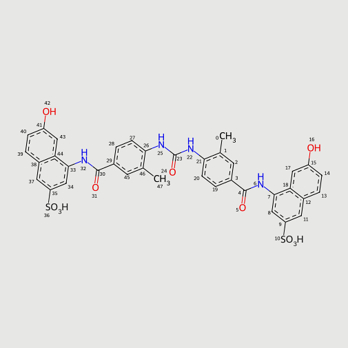 Cc1cc(C(=O)Nc2cc(S(=O)(=O)O)cc3ccc(O)cc23)ccc1NC(=O)Nc1ccc(C(=O)Nc2cc(S(=O)(=O)O)cc3ccc(O)cc23)cc1C